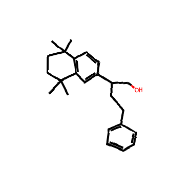 CC1(C)CCC(C)(C)c2cc(C(CO)CCc3ccccc3)ccc21